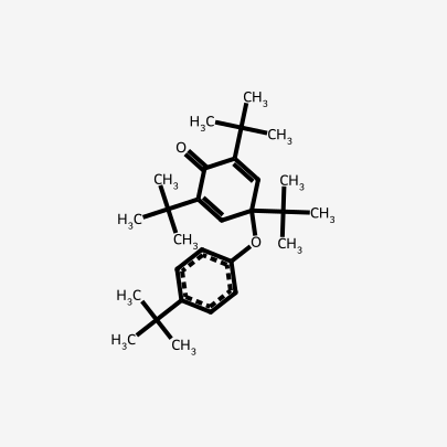 CC(C)(C)C1=CC(Oc2ccc(C(C)(C)C)cc2)(C(C)(C)C)C=C(C(C)(C)C)C1=O